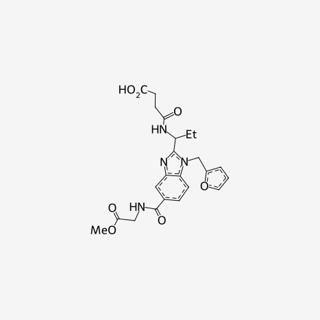 CCC(NC(=O)CCC(=O)O)c1nc2cc(C(=O)NCC(=O)OC)ccc2n1Cc1ccco1